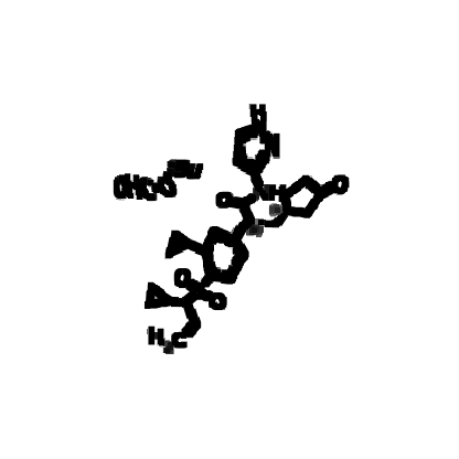 C=CC(C1CC1)S(=O)(=O)c1ccc([C@@H](C[C@H]2CCC(=O)C2)C(=O)Nc2cc[nH]n2)cc1C1CC1.CC(C)(C)OC=O